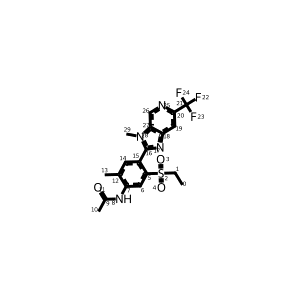 CCS(=O)(=O)c1cc(NC(C)=O)c(C)cc1-c1nc2cc(C(F)(F)F)ncc2n1C